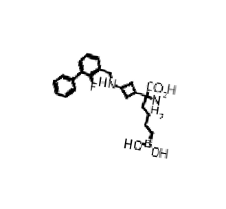 NC(CCCCB(O)O)(C(=O)O)[C@H]1C[C@@H](NCc2cccc(-c3ccccc3)c2F)C1